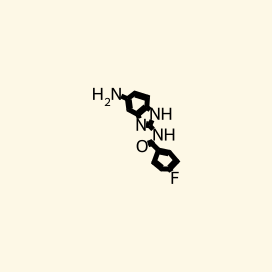 Nc1ccc2[nH]c(NC(=O)c3ccc(F)cc3)nc2c1